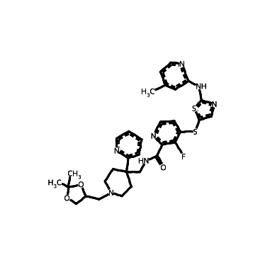 Cc1ccnc(Nc2ncc(Sc3ccnc(C(=O)NCC4(c5ccccn5)CCN(CC5COC(C)(C)O5)CC4)c3F)s2)c1